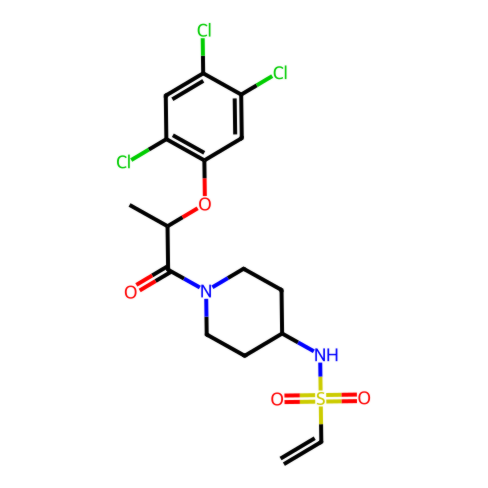 C=CS(=O)(=O)NC1CCN(C(=O)C(C)Oc2cc(Cl)c(Cl)cc2Cl)CC1